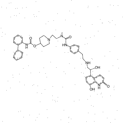 CN(CCN1CCC(OC(=O)Nc2ccccc2-c2ccccc2)CC1)C(=O)Nc1ccc(CCNCC(O)c2ccc(O)c3[nH]c(=O)ccc23)cc1